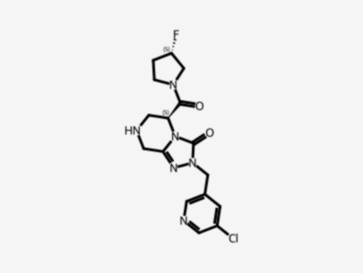 O=C([C@@H]1CNCc2nn(Cc3cncc(Cl)c3)c(=O)n21)N1CC[C@H](F)C1